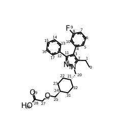 CCc1c(-c2cccc(F)c2)c(-c2ccccc2)nn1C[C@H]1CC[C@H](COCC(=O)O)CC1